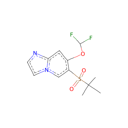 CC(C)(C)S(=O)(=O)c1cn2ccnc2cc1OC(F)F